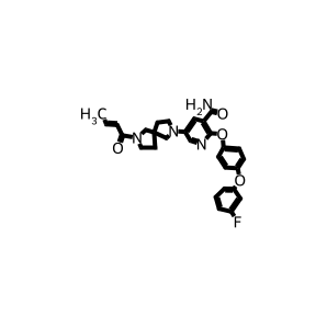 CC=CC(=O)N1CCC2(CCN(c3cnc(Oc4ccc(Oc5cccc(F)c5)cc4)c(C(N)=O)c3)C2)C1